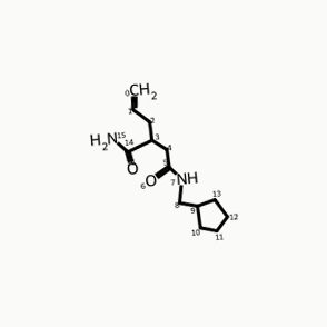 C=CCC(CC(=O)NCC1CCCC1)C(N)=O